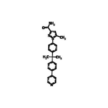 Cc1cc(C(N)=O)nn1-c1ccc(C(C)(C)c2ccc(-c3ccncc3)cc2)cc1